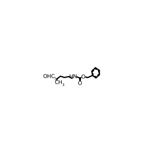 C[C@H](C=O)CCCCNC(=O)OCc1ccccc1